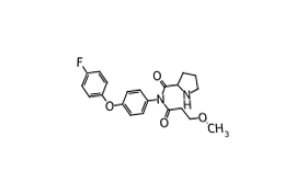 COCCC(=O)N(C(=O)C1CCCN1)c1ccc(Oc2ccc(F)cc2)cc1